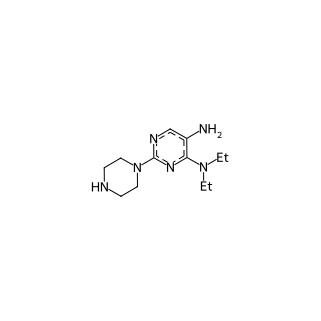 CCN(CC)c1nc(N2CCNCC2)ncc1N